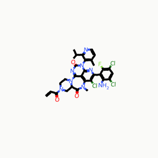 C=CC(=O)N1CCN2c3nc(=O)n(-c4c(C)ccnc4C(C)C)c4nc(-c5c(N)c(Cl)cc(Cl)c5F)c(Cl)c(c34)N(C)C(=O)C2C1